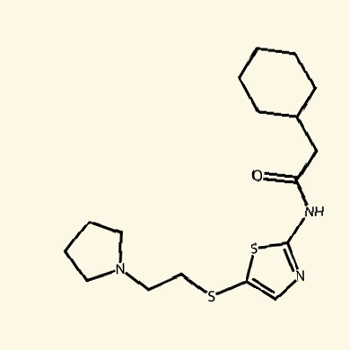 O=C(CC1CCCCC1)Nc1ncc(SCCN2CCCC2)s1